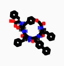 O=C1COc2ccc(cc2)C[C@@H](C(=O)N[C@@H](Cc2ccccc2)C(=O)O)NC(=O)[C@@H](CCc2ccccc2)NC(=O)[C@H](Cc2ccc(-c3ccccc3)cc2)NC(=O)[C@@H](CCc2ccccc2)N1